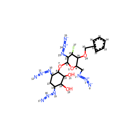 [N-]=[N+]=NCC1OC(OC2C(N=[N+]=[N-])CC(N=[N+]=[N-])C(O)C2O)C(N=[N+]=[N-])C(F)C1OCc1ccccc1